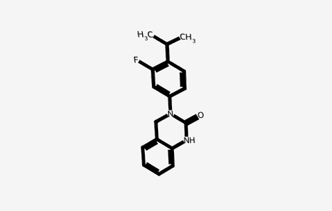 CC(C)c1ccc(N2Cc3ccccc3NC2=O)cc1F